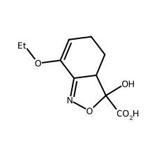 CCOC1=CCCC2C1=NOC2(O)C(=O)O